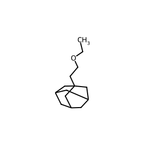 CCOCCC12CC3CC(CC(C3)C1)C2